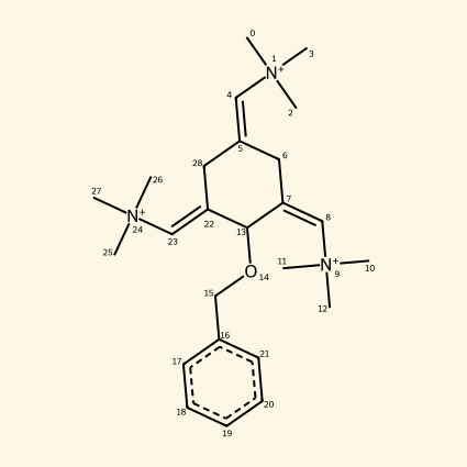 C[N+](C)(C)C=C1CC(=C[N+](C)(C)C)C(OCc2ccccc2)C(=C[N+](C)(C)C)C1